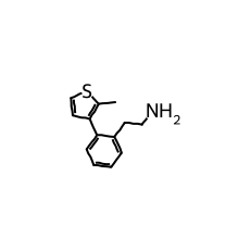 Cc1sccc1-c1ccccc1CCN